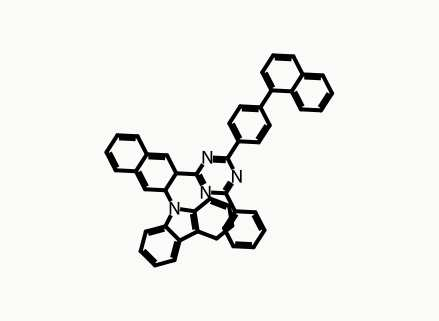 C1=Cc2c(c3ccccc3n2C2C=c3ccccc3=CC2c2nc(-c3ccccc3)nc(-c3ccc(-c4cccc5ccccc45)cc3)n2)CC1